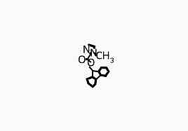 Cn1ccnc1C(=O)OCC1c2ccccc2-c2ccccc21